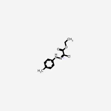 CCOC(=O)/C(Cl)=N\Nc1ccc(C)cc1